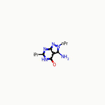 CCCn1nc2nc(C(C)C)[nH]c(=O)c2c1N